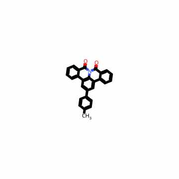 Cc1ccc(-c2cc3c4ccccc4c(=O)n4c(=O)c5ccccc5c(c2)c34)cc1